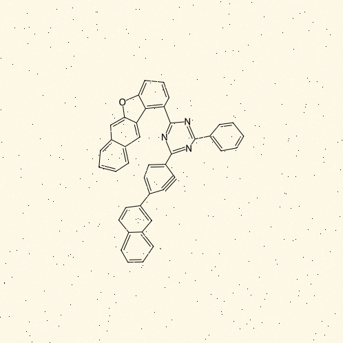 c1c(-c2ccc3ccccc3c2)ccc(-c2nc(-c3ccccc3)nc(-c3cccc4oc5cc6ccccc6cc5c34)n2)c#1